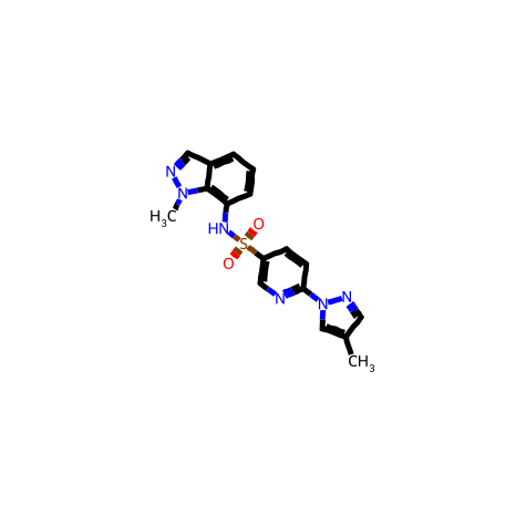 Cc1cnn(-c2ccc(S(=O)(=O)Nc3cccc4cnn(C)c34)cn2)c1